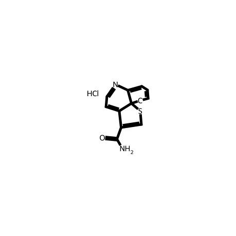 Cl.NC(=O)C1=CSC23CC=CC=C2N=CC=C13